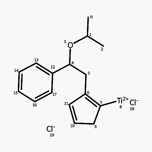 CC(C)OC(CC1=[C]([Ti+2])CC=C1)c1ccccc1.[Cl-].[Cl-]